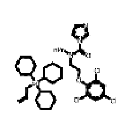 C=C[CH2][Sn]([CH]1CCCCC1)([CH]1CCCCC1)[CH]1CCCCC1.CCCN(CCOc1c(Cl)cc(Cl)cc1Cl)C(=O)n1ccnc1